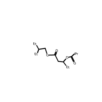 CCC(CC)COC(=O)CC(CC)OC(=O)C(C)C